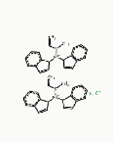 C=C[SiH](C)[Hf+]([CH]1C=Cc2ccccc21)[CH]1C=Cc2ccccc21.C=C[SiH](C)[Hf+]([CH]1C=Cc2ccccc21)[CH]1C=Cc2ccccc21.[Cl-].[Cl-]